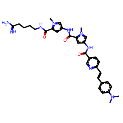 CN(C)c1ccc(/C=C/c2ccc(C(=O)Nc3cc(C(=O)Nc4cc(C(=O)NCCCCC(=N)N)n(C)c4)n(C)c3)cn2)cc1